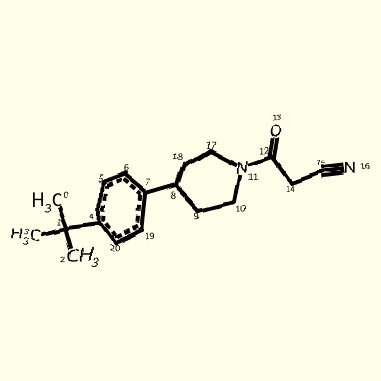 CC(C)(C)c1ccc(C2CCN(C(=O)CC#N)CC2)cc1